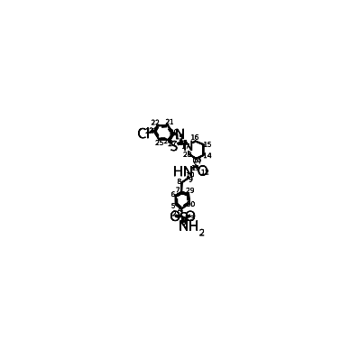 NS(=O)(=O)c1ccc(CCNC(=O)[C@H]2CCCN(c3nc4ccc(Cl)cc4s3)C2)cc1